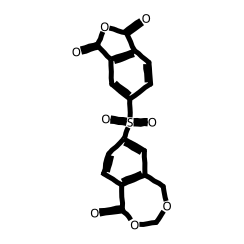 O=C1OCOCc2cc(S(=O)(=O)c3ccc4c(c3)C(=O)OC4=O)ccc21